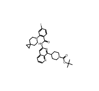 CC(C)(C)OC(=O)N1CCC(c2nc(NC(=O)c3ccc(I)cc3N3CCC4(CC3)CC4)cc3cccnc23)CC1